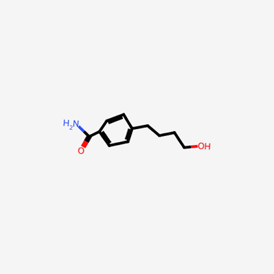 NC(=O)c1ccc(CCCCO)cc1